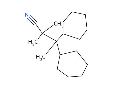 CC(C)(C#N)C(C)(C1CCCCC1)C1CCCCC1